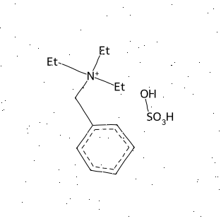 CC[N+](CC)(CC)Cc1ccccc1.O=S(=O)(O)O